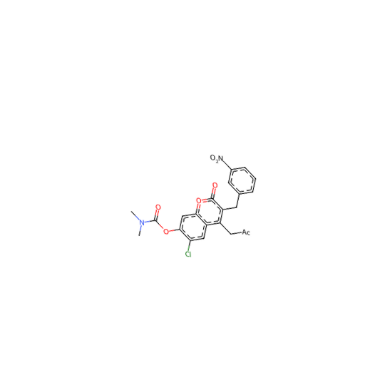 CC(=O)Cc1c(Cc2cccc([N+](=O)[O-])c2)c(=O)oc2cc(OC(=O)N(C)C)c(Cl)cc12